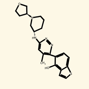 Cc1cc(N[C@H]2CCCN([C@H]3CCOC3)C2)nnc1-c1ccc2sccc2c1O